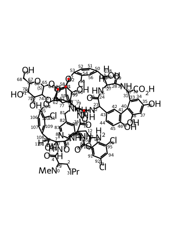 CN[C@H](CC(C)C)C(=O)N[C@H]1C(=O)N[C@@H](CC(N)=O)C(=O)N[C@H]2C(=O)NC3C(=O)N[C@H](C(=O)N[C@@H](C(=O)O)c4cc(O)cc(O)c4-c4cc3ccc4O)[C@H](O)c3ccc(c(Cl)c3)Oc3cc2cc(c3O[C@@H]2O[C@H](CO)[C@@H](O)[C@H](O)C2O[C@H]2C[C@](C)(NCc3cncc(NC(=O)c4cc(Cl)cc(Cl)c4)c3)[C@H](O)[C@H](C)O2)Oc2ccc(cc2Cl)[C@H]1O